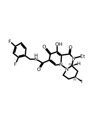 CCN1C(=O)c2c(O)c(=O)c(C(=O)NCc3ccc(F)cc3F)cn2N2CC[C@H](I)C[C@@H]12